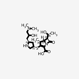 C[C@@H](O)[C@H]1C(=O)N2C(C(=O)O)=C(S[C@@H]3CN[C@@H](CC(O)CN(C)C)C3)[C@H](C)[C@H]12